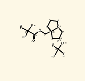 O=C(OC[C@@]12CCCN1C[C@H](OC(F)(F)F)C2)C(F)(F)F